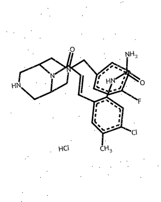 Cc1cc(/C=C/C(=O)N2C3CNCC2CN(Cc2ccc(F)cc2)C3)c(NC(N)=O)cc1Cl.Cl